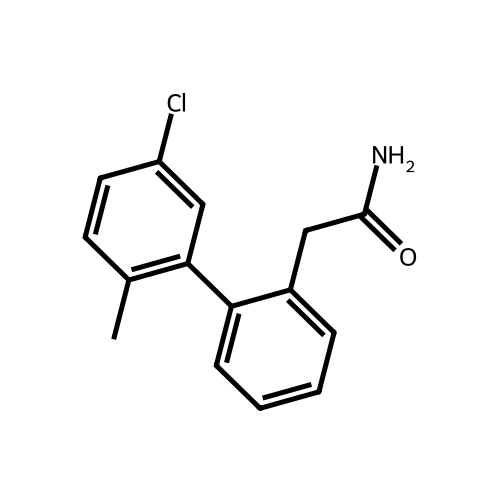 Cc1ccc(Cl)cc1-c1ccccc1CC(N)=O